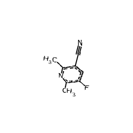 Cc1nc(C)c(C#N)cc1F